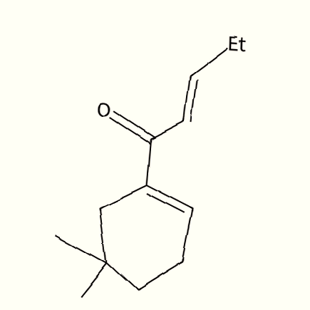 CCC=CC(=O)C1=CCCC(C)(C)C1